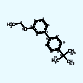 CCOc1cc[c]c(-c2ccc(C(C)(C)C)cc2)c1